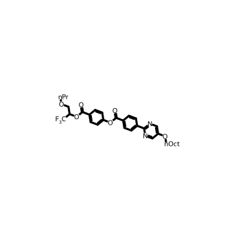 CCCCCCCCOc1cnc(-c2ccc(C(=O)Oc3ccc(C(=O)OC(COCCC)C(F)(F)F)cc3)cc2)nc1